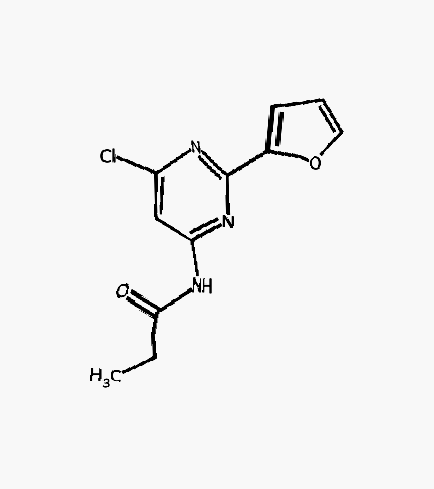 CCC(=O)Nc1cc(Cl)nc(-c2ccco2)n1